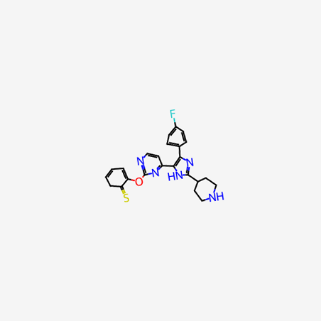 Fc1ccc(-c2nc(C3CCNCC3)[nH]c2-c2ccnc(OC3=CC=CCC3=S)n2)cc1